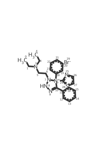 CCN(CC)CCN1NN=C(c2ccccc2)[N+]1(c1ccccc1)c1nccs1.[Br-]